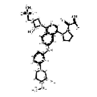 C=C(F)C(=O)N1CCCC1c1cnc(N2C[C@H](CS(C)(=O)=O)[C@H]2C)c2cnc(Nc3ccnc(N4CC[C@@H](OC)[C@@H](F)C4)n3)cc12